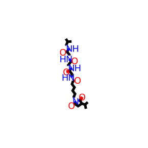 CC(C)CNC(=O)CNC(=O)CNC(=O)CNC(=O)CCCCCN1C(=O)CC(C(C)C)C1=O